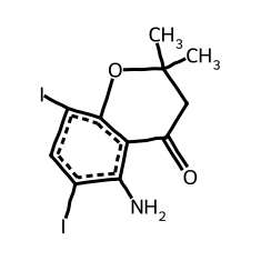 CC1(C)CC(=O)c2c(N)c(I)cc(I)c2O1